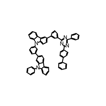 c1ccc(-c2ccc(-c3nc(-c4ccccc4)nc(-c4cccc(-c5ccc6c(c5)c5ccccc5n6-c5cccc(-c6ccc7c8ccccc8n(-c8ccccc8)c7c6)c5)c4)n3)cc2)cc1